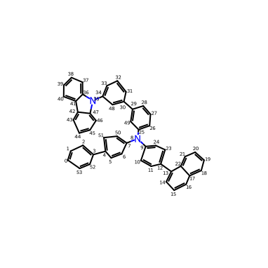 c1ccc(-c2ccc(N(c3ccc(-c4cccc5ccccc45)cc3)c3cccc(-c4cccc(-n5c6ccccc6c6ccccc65)c4)c3)cc2)cc1